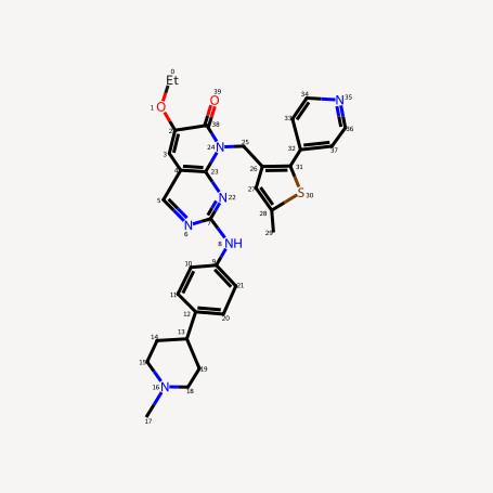 CCOc1cc2cnc(Nc3ccc(C4CCN(C)CC4)cc3)nc2n(Cc2cc(C)sc2-c2ccncc2)c1=O